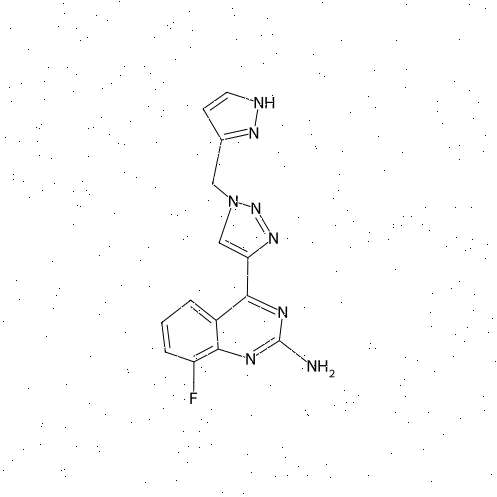 Nc1nc(-c2cn(Cc3cc[nH]n3)nn2)c2cccc(F)c2n1